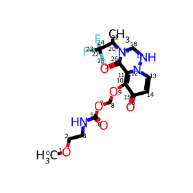 COCCNC(=O)OCOc1c2n(ccc1=O)NCN(C(C)C(F)(F)F)C2=O